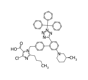 CCCCc1nc(Cl)c(C(=O)O)n1Cc1ccc(-c2cc(N3CCC[C@H](C)C3)ccc2-c2nnn(C(c3ccccc3)(c3ccccc3)c3ccccc3)n2)cc1